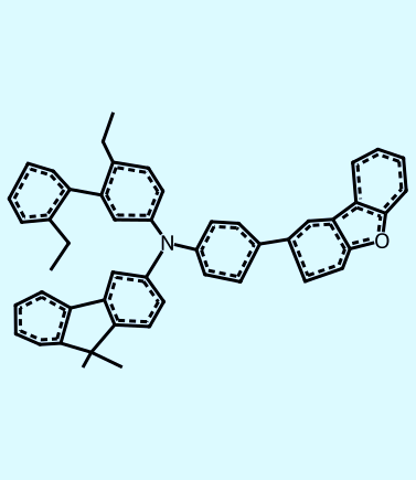 CCc1ccccc1-c1cc(N(c2ccc(-c3ccc4oc5ccccc5c4c3)cc2)c2ccc3c(c2)-c2ccccc2C3(C)C)ccc1CC